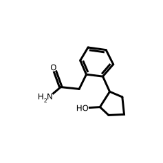 NC(=O)Cc1ccccc1C1CCCC1O